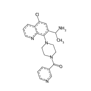 CC(N)c1cc(Cl)c2cccnc2c1N1CCN(C(=O)c2cccnc2)CC1